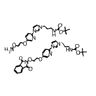 CC(C)(C)OC(=O)NCCC[n+]1ccn(-c2ccc(OCCON)cn2)c1.CC(C)(C)OC(=O)NCCC[n+]1ccn(-c2ccc(OCCON3C(=O)c4ccccc4C3=O)cn2)c1